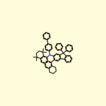 CC1(C)CCC(C)(C)c2c(N(c3ccc(-c4ccccc4)cc3)c3cc4c(cc3-c3cccc5c3CCCC5)-c3ccccc3C4(c3ccccc3)c3ccccc3)cccc21